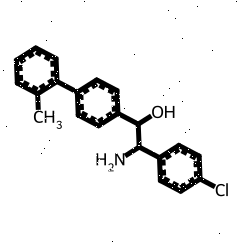 Cc1ccccc1-c1ccc(C(O)C(N)c2ccc(Cl)cc2)cc1